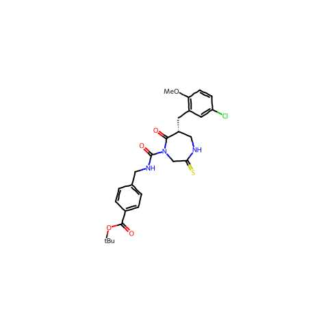 COc1ccc(Cl)cc1C[C@@H]1CNC(=S)CN(C(=O)NCc2ccc(C(=O)OC(C)(C)C)cc2)C1=O